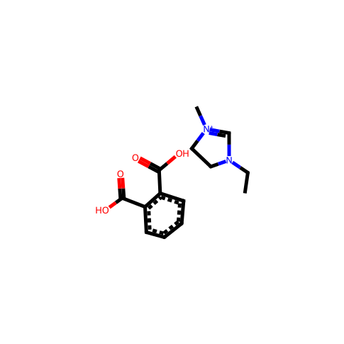 CCN1C=[N+](C)CC1.O=C(O)c1ccccc1C(=O)O